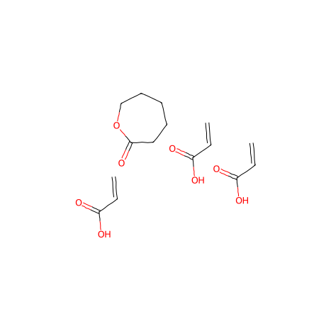 C=CC(=O)O.C=CC(=O)O.C=CC(=O)O.O=C1CCCCCO1